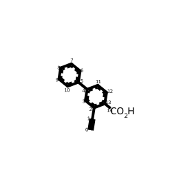 C#Cc1cc(-c2ccccc2)ccc1C(=O)O